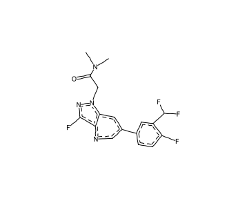 CN(C)C(=O)Cn1nc(F)c2ncc(-c3ccc(F)c(C(F)F)c3)cc21